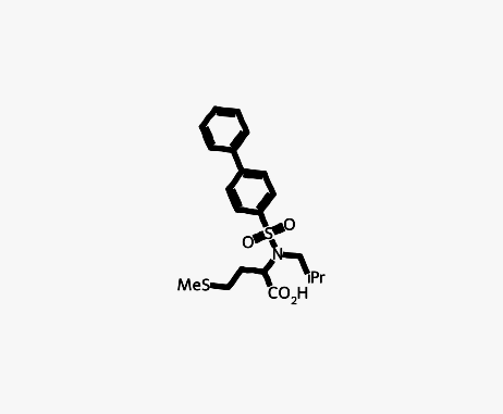 CSCCC(C(=O)O)N(CC(C)C)S(=O)(=O)c1ccc(-c2ccccc2)cc1